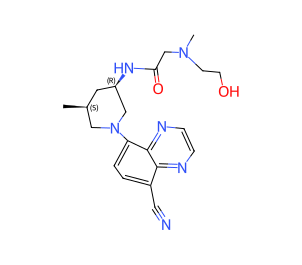 C[C@H]1C[C@@H](NC(=O)CN(C)CCO)CN(c2ccc(C#N)c3nccnc23)C1